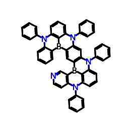 c1ccc(N2c3ccccc3B3c4cc5c(cc4N(c4ccccc4)c4cccc2c43)N(c2ccccc2)c2cccc3c2B5c2cnccc2N3c2ccccc2)cc1